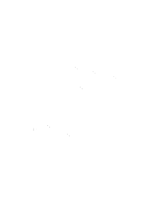 Cc1c(-c2nc(Nc3ccccn3)ncc2F)sc2c1nc(C)n2C(C)C